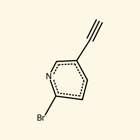 C#Cc1ccc(Br)nc1